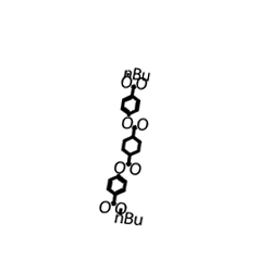 CCCCOC(=O)c1ccc(OC(=O)C2CCC(C(=O)Oc3ccc(C(=O)OCCCC)cc3)CC2)cc1